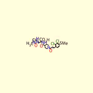 CSc1ccc(/C=C/C(=O)N2CCC(C(=O)N[C@@H](CNC(=O)N(C)C)C(=O)O)CC2)c(Cl)c1Cl